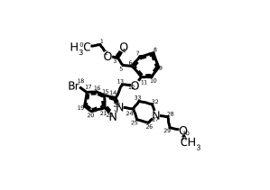 CCOC(=O)Cc1ccccc1OCc1c2cc(Br)ccc2nn1C1CCN(CCOC)CC1